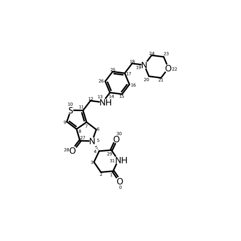 O=C1CC[C@H](N2Cc3c(csc3CNc3ccc(CN4CCOCC4)cc3)C2=O)C(=O)N1